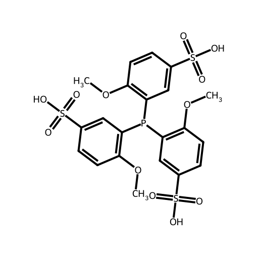 COc1ccc(S(=O)(=O)O)cc1P(c1cc(S(=O)(=O)O)ccc1OC)c1cc(S(=O)(=O)O)ccc1OC